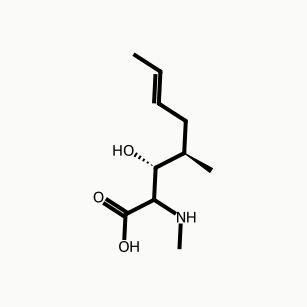 CC=CC[C@@H](C)[C@@H](O)C(NC)C(=O)O